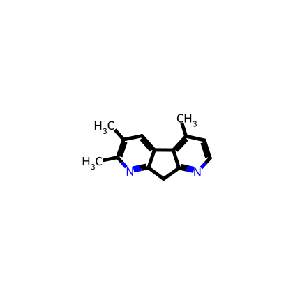 Cc1cc2c(nc1C)Cc1nccc(C)c1-2